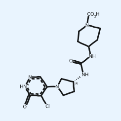 O=C(NC1CCN(C(=O)O)CC1)N[C@@H]1CCN(c2cn[nH]c(=O)c2Cl)C1